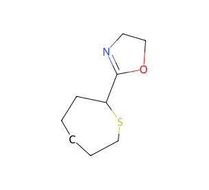 C1CCSC(C2=NCCO2)CC1